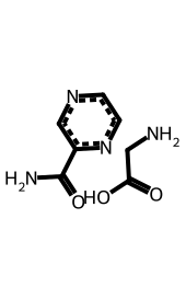 NC(=O)c1cnccn1.NCC(=O)O